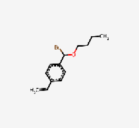 C=Cc1ccc(C(Br)OCCCC)cc1